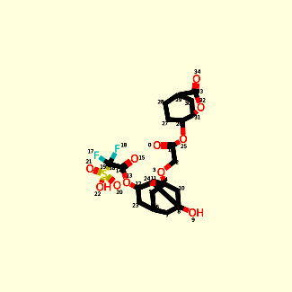 O=C(COC12CC3CC(O)(C1)CC(OC(=O)C(F)(F)S(=O)(=O)O)(C3)C2)OC1CCC2CC1OC2=O